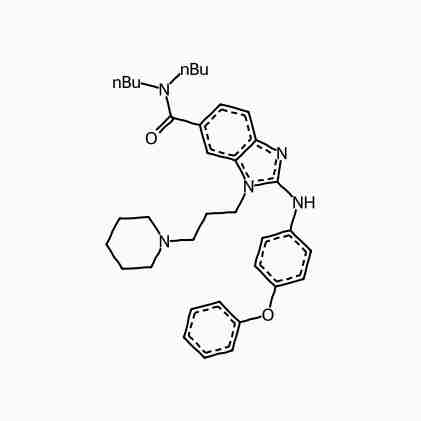 CCCCN(CCCC)C(=O)c1ccc2nc(Nc3ccc(Oc4ccccc4)cc3)n(CCCN3CCCCC3)c2c1